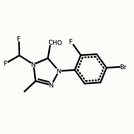 CC1=NN(c2ccc(Br)cc2F)C(C=O)N1C(F)F